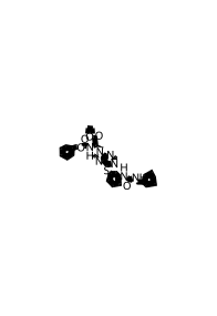 CC(C)(C)OC(=O)[C@H](Cn1cnc2c(Sc3cccc(NC(=O)NCc4ccccc4)c3)ncnc21)NC(=O)OCc1ccccc1